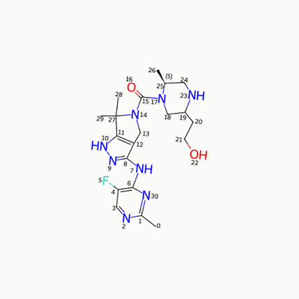 Cc1ncc(F)c(Nc2n[nH]c3c2CN(C(=O)N2CC(CCO)NC[C@@H]2C)C3(C)C)n1